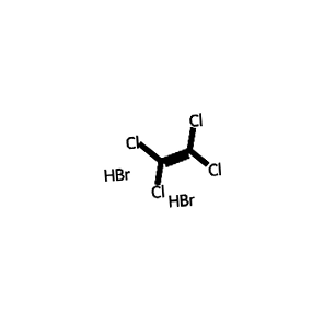 Br.Br.ClC(Cl)=C(Cl)Cl